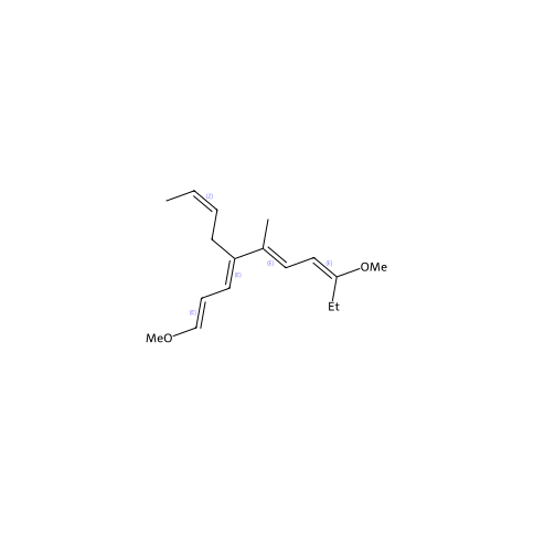 C/C=C\CC(=C\C=C\OC)/C(C)=C/C=C(\CC)OC